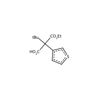 CCOC(=O)C(C(=O)O)(c1ccsc1)C(C)(C)C